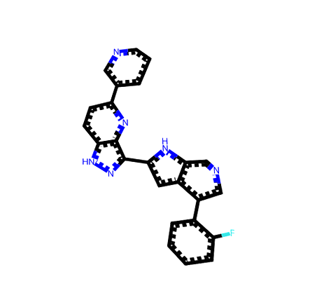 Fc1ccccc1-c1cncc2[nH]c(-c3n[nH]c4ccc(-c5cccnc5)nc34)cc12